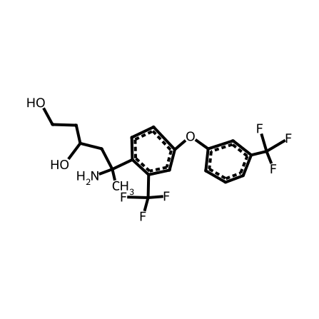 CC(N)(CC(O)CCO)c1ccc(Oc2cccc(C(F)(F)F)c2)cc1C(F)(F)F